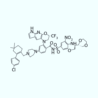 CC1(C)CCC(CN2CCN(c3ccc(C(=O)NS(=O)(=O)c4cc5c(c([N+](=O)[O-])c4)N[C@@H]([C@H]4COCCO4)CO5)c(N4C[C@@H](C(F)(F)F)Oc5nc6[nH]ccc6cc54)c3)CC2)=C(c2ccc(Cl)cc2)C1